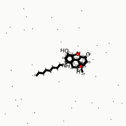 CCCCCCCCNc1cc(O)c2c3c1C[C@@H]1[C@@H]4C=CC(=O)[C@H](O2)[C@]34CCN1C